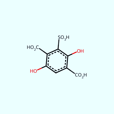 O=C(O)c1cc(O)c(C(=O)O)c(S(=O)(=O)O)c1O